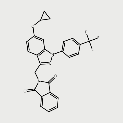 O=C1c2ccccc2C(=O)N1Cc1nn(-c2ccc(C(F)(F)F)cc2)c2cc(OC3CC3)ccc12